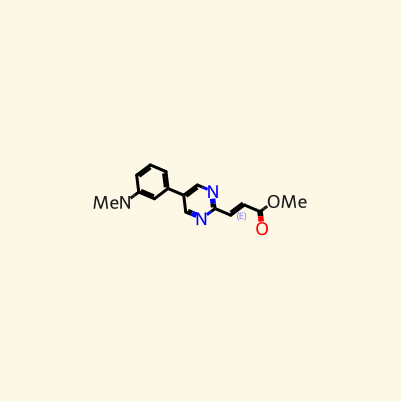 CNc1cccc(-c2cnc(/C=C/C(=O)OC)nc2)c1